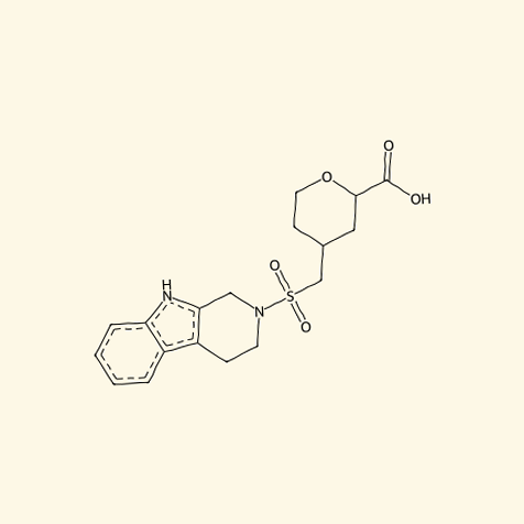 O=C(O)C1CC(CS(=O)(=O)N2CCc3c([nH]c4ccccc34)C2)CCO1